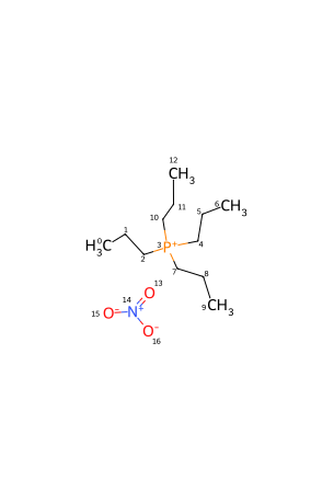 CCC[P+](CCC)(CCC)CCC.O=[N+]([O-])[O-]